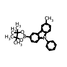 Cc1ccc2c(c1)c1cc(B3OC(C)(C)C(C)(C)O3)ccc1n2-c1ccccc1